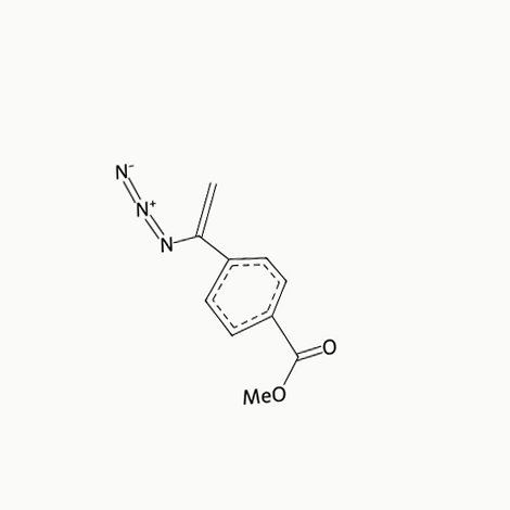 C=C(N=[N+]=[N-])c1ccc(C(=O)OC)cc1